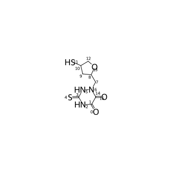 O=c1[nH]c(=S)[nH]n(CC2CC(S)CO2)c1=O